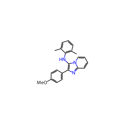 COc1ccc(-c2nc3ccccn3c2Nc2c(C)cccc2C)cc1